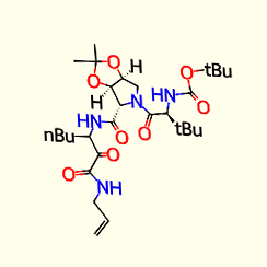 C=CCNC(=O)C(=O)C(CCCC)NC(=O)[C@@H]1[C@H]2OC(C)(C)O[C@H]2CN1C(=O)[C@@H](NC(=O)OC(C)(C)C)C(C)(C)C